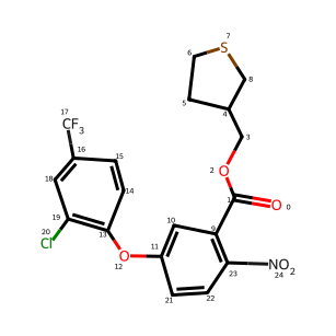 O=C(OCC1CCSC1)c1cc(Oc2ccc(C(F)(F)F)cc2Cl)ccc1[N+](=O)[O-]